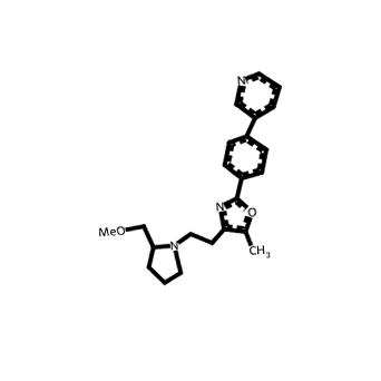 COCC1CCCN1CCc1nc(-c2ccc(-c3cccnc3)cc2)oc1C